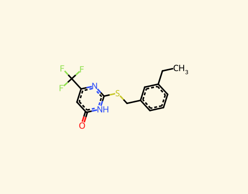 CCc1cccc(CSc2nc(C(F)(F)F)cc(=O)[nH]2)c1